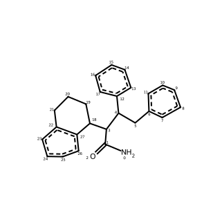 NC(=O)C(C(Cc1ccccc1)c1ccccc1)C1CCCc2ccccc21